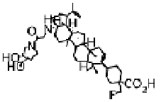 C=C(C)[C@@H]1CC[C@]2(NCC(=O)N3CCS(O)(O)C3)CC[C@]3(C)[C@H](CC[C@@H]4C5(C)CC=C(C6=CC[C@](CF)(C(=O)O)CC6)C(C)(C)[C@@H]5CC[C@]43C)[C@@H]12